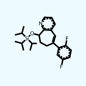 CC(C)[Si](OC1CCC(c2cc(F)ccc2F)=Cc2cccnc21)(C(C)C)C(C)C